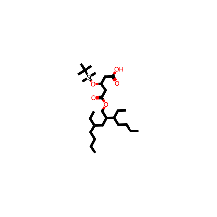 CCCCC(CC)CC(COC(=O)CC(CC(=O)O)O[Si](C)(C)C(C)(C)C)C(CC)CCCC